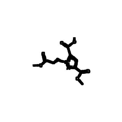 COC(=O)CCn1nc(C(=O)OC)cc1C(=O)OC